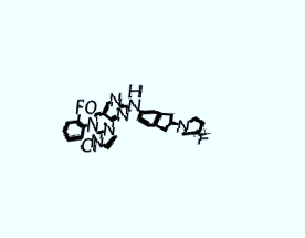 O=c1c2cnc(Nc3ccc4c(c3)CC(N3CC[C@H](F)C3)C4)nc2n2ccnc2n1-c1c(F)cccc1Cl